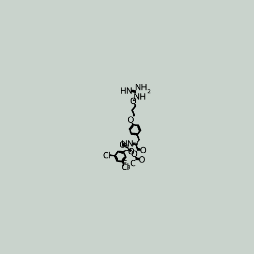 N=C(N)NOCCCOc1ccc(C[C@H](NS(=O)(=O)c2cc(Cl)cc(Cl)c2)C(=O)OC(=O)C(F)(F)F)cc1